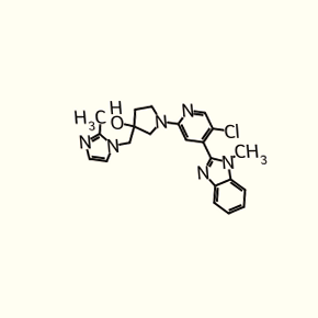 Cc1nccn1CC1(O)CCN(c2cc(-c3nc4ccccc4n3C)c(Cl)cn2)C1